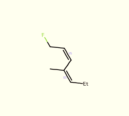 CC/C=C(C)\C=C/CF